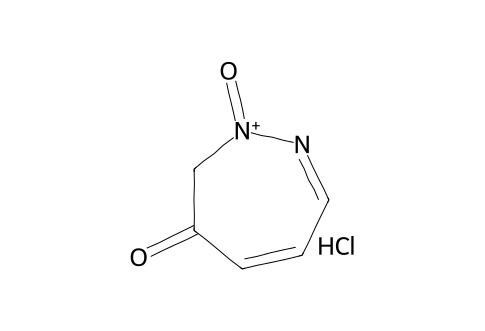 Cl.O=C1C=CC=N[N+](=O)C1